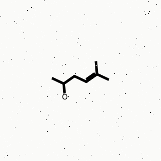 CC(C)=CCC(C)[O]